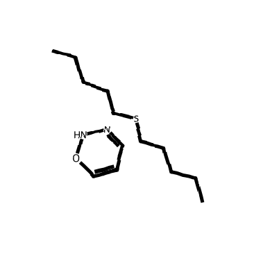 C1=CONN=C1.CCCCCSCCCCC